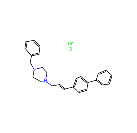 C(=Cc1ccc(-c2ccccc2)cc1)CN1CCN(Cc2ccccc2)CC1.Cl.Cl